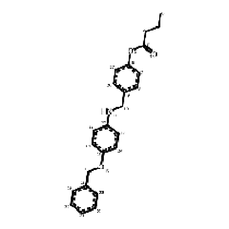 CCCC(=O)Oc1ccc(CNc2ccc(OCc3ccccc3)cc2)cc1